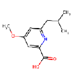 COc1cc(CC(C)C)nc(C(=O)O)c1